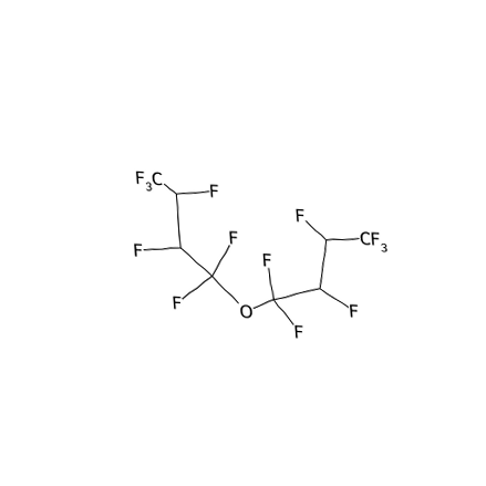 FC(C(F)C(F)(F)OC(F)(F)C(F)C(F)C(F)(F)F)C(F)(F)F